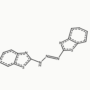 c1ccc2sc(N=NNc3nc4ccccc4s3)nc2c1